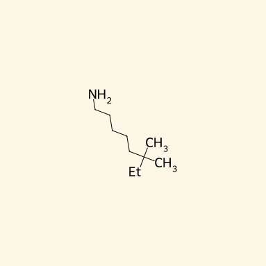 CCC(C)(C)CCCCCN